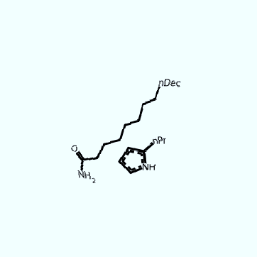 CCCCCCCCCCCCCCCCCC(N)=O.CCCc1ccc[nH]1